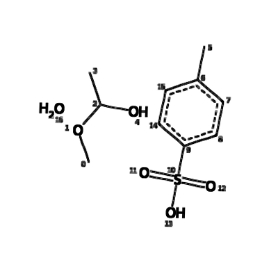 COC(C)O.Cc1ccc(S(=O)(=O)O)cc1.O